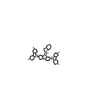 Cc1ccc2c(c1)c1cc(C)ccc1n2-c1ccc2c3ccc(-n4c5ccc(C)cc5c5cc(C)ccc54)cc3n(-c3ccc4ccccc4c3)c2c1